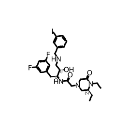 CC[C@H]1CN(CC(=O)N[C@@H](Cc2cc(F)cc(F)c2)[C@@H](O)CNCc2cccc(I)c2)CC(=O)N1CC